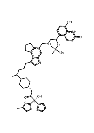 Cc1ccc([C@@](O)(C(=O)O[C@H]2CC[C@H](N(C)CCCn3cnc4cc(CNCC(O[Si](C)(C)C(C)(C)C)c5ccc(O)c6[nH]c(=O)ccc56)c5c(c43)CCC5)CC2)c2cccs2)s1